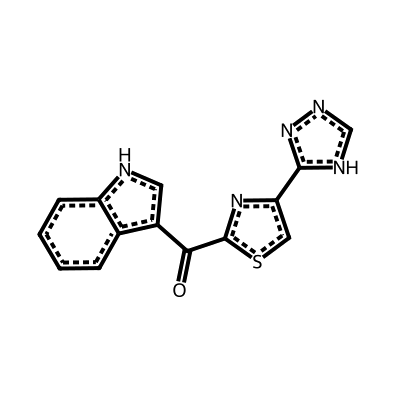 O=C(c1nc(-c2nnc[nH]2)cs1)c1c[nH]c2ccccc12